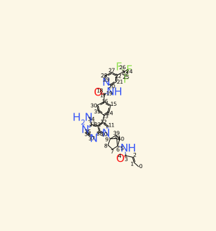 CC=CC(=O)NC12CCC(n3cc(-c4ccc(C(=O)Nc5cc(C(F)(F)F)ccn5)cc4)c4c(N)ncnc43)(CC1)C2